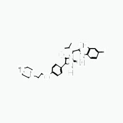 CC(C)[C@@H](C(=O)Nc1ccc(I)cc1F)N1C(=O)NC(c2ccc(OCCN3CCN(C)CC3)cc2)C1=O